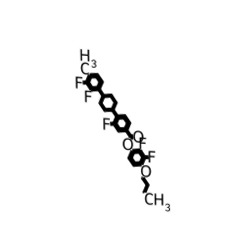 CCCCOc1ccc(OC(=O)c2ccc(C3CCC(c4ccc(C)c(F)c4F)CC3)c(F)c2)c(F)c1F